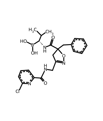 CC(C)[C@H](NC(=O)C1(Cc2ccccc2)CC(CNC(=O)c2cccc(Cl)n2)=NO1)B(O)O